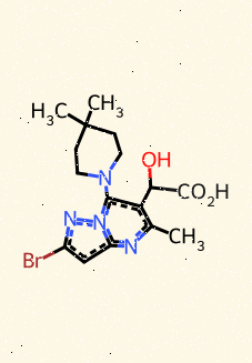 Cc1nc2cc(Br)nn2c(N2CCC(C)(C)CC2)c1C(O)C(=O)O